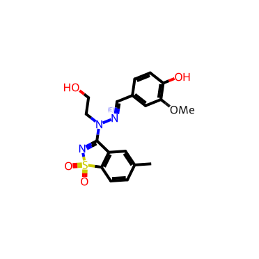 COc1cc(/C=N/N(CCO)C2=NS(=O)(=O)c3ccc(C)cc32)ccc1O